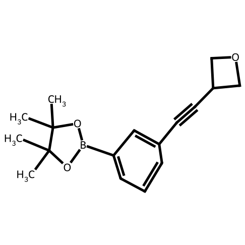 CC1(C)OB(c2cccc(C#CC3COC3)c2)OC1(C)C